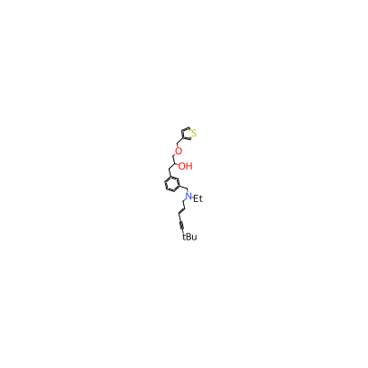 CCN(CC=CC#CC(C)(C)C)Cc1cccc(CC(O)COCc2ccsc2)c1